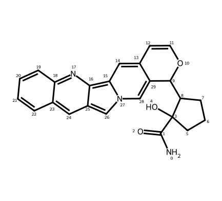 NC(=O)C1(O)CCCC1C1OC=Cc2cc3c4nc5ccccc5cc4cn3cc21